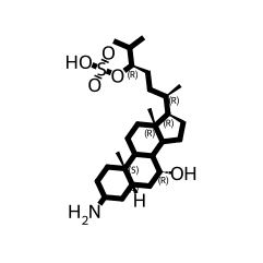 CC(C)[C@@H](CC[C@@H](C)[C@H]1CCC2C3C(CC[C@@]21C)[C@@]1(C)CCC(N)C[C@H]1C[C@H]3O)OS(=O)(=O)O